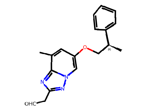 Cc1cc(OC[C@H](C)c2ccccc2)cn2nc(CC=O)nc12